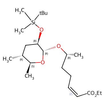 CCOC(=O)/C=C\CC[C@@H](C)O[C@@H]1O[C@@H](C)[C@H](C)C[C@H]1O[Si](C)(C)C(C)(C)C